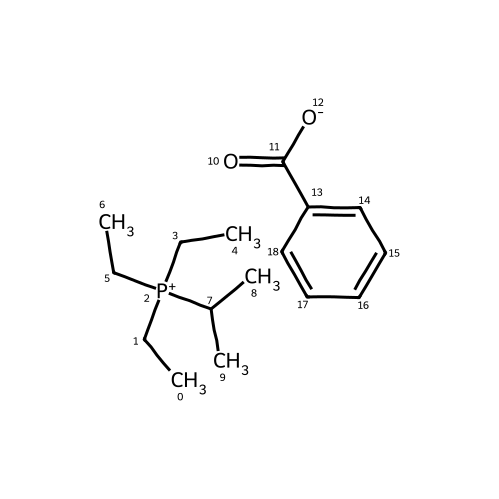 CC[P+](CC)(CC)C(C)C.O=C([O-])c1ccccc1